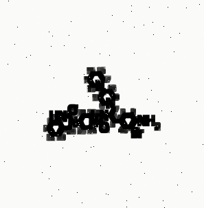 Nc1ccc(CC(CN2CCC(N3CCCCC3)CC2)NC(=O)N2CCC(N3Cc4ccccc4NC3=O)CC2)cc1Br